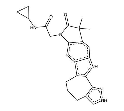 CC1(C)C(=O)N(CC(=O)NC2CC2)c2cc3c4c([nH]c3cc21)-c1n[nH]cc1CCC4